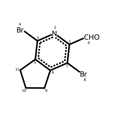 O=Cc1nc(Br)c2c(c1Br)CCC2